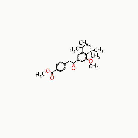 COC(=O)c1ccc(CC(=O)c2cc(OC)c3c(c2)C(C)(C)CCC3(C)C)cc1